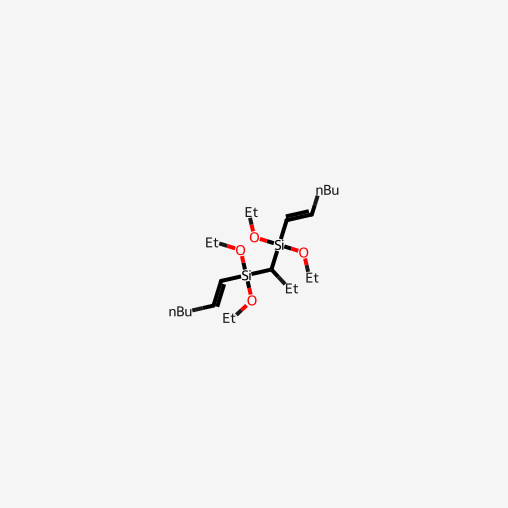 CCCCC=C[Si](OCC)(OCC)C(CC)[Si](C=CCCCC)(OCC)OCC